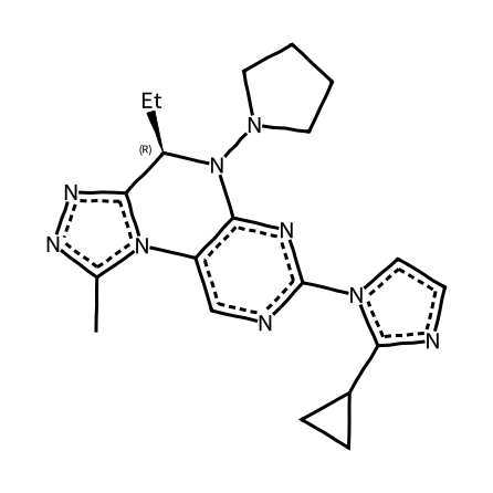 CC[C@@H]1c2nnc(C)n2-c2cnc(-n3ccnc3C3CC3)nc2N1N1CCCC1